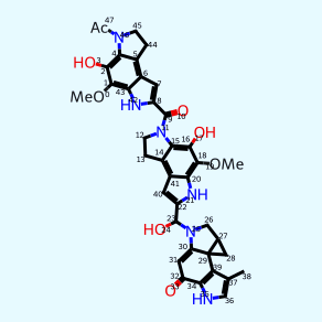 COc1c(O)c2c(c3cc(C(=O)N4CCc5c4c(O)c(OC)c4[nH]c(C(O)N6CC7CC78C6=CC(=O)c6[nH]cc(C)c68)cc54)[nH]c13)CCN2C(C)=O